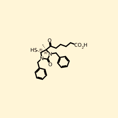 C[C@@]1(C(=O)CCCCC(=O)O)[C@@H](S)N(Cc2ccccc2)C(=O)N1Cc1ccccc1